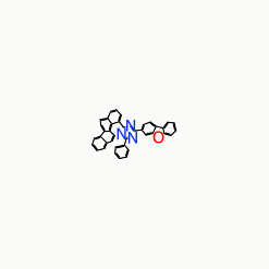 c1ccc(-c2nc(-c3ccc4c(c3)oc3ccccc34)nc(-c3cccc4ccc5c6ccccc6ccc5c34)n2)cc1